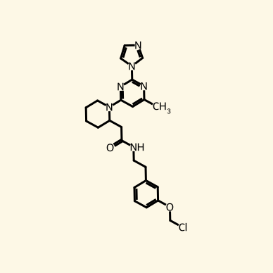 Cc1cc(N2CCCCC2CC(=O)NCCc2cccc(OCCl)c2)nc(-n2ccnc2)n1